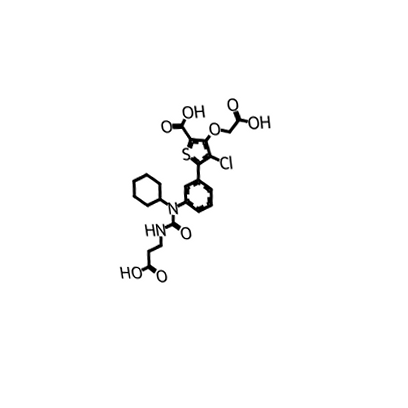 O=C(O)CCNC(=O)N(c1cccc(-c2sc(C(=O)O)c(OCC(=O)O)c2Cl)c1)C1CCCCC1